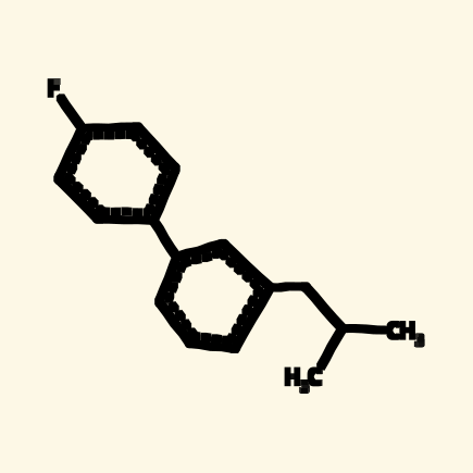 CC(C)Cc1cccc(-c2ccc(F)cc2)c1